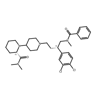 CN(C)C(=O)[C@@H]1CCCCN1C1CCN(CC[C@H](CN(C)C(=O)c2ccccc2)c2ccc(Cl)c(Cl)c2)CC1